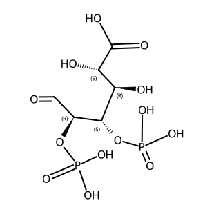 O=C[C@H](OP(=O)(O)O)[C@@H](OP(=O)(O)O)[C@H](O)[C@H](O)C(=O)O